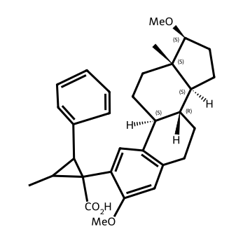 COc1cc2c(cc1C1(C(=O)O)C(C)C1c1ccccc1)[C@H]1CC[C@]3(C)[C@@H](OC)CC[C@H]3[C@@H]1CC2